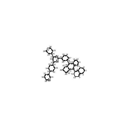 C1=c2ccccc2=C(c2c3ccccc3c(-c3cccc(-c4nc(-c5ccccc5)cc(-c5ccc(-c6cccnc6)cc5)n4)c3)c3ccccc23)CC1